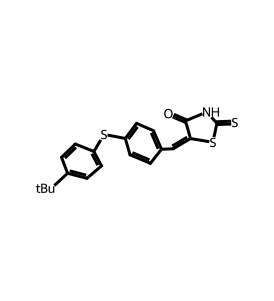 CC(C)(C)c1ccc(Sc2ccc(/C=C3/SC(=S)NC3=O)cc2)cc1